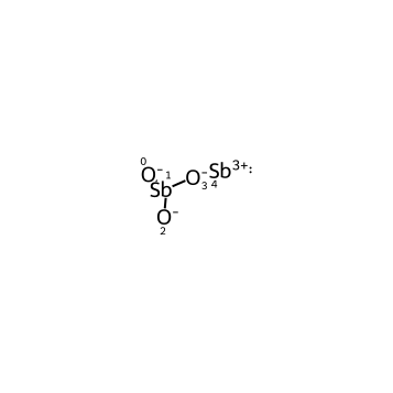 [O-][Sb]([O-])[O-].[Sb+3]